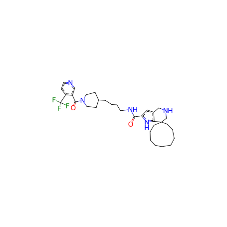 O=C(NCCCCC1CCN(C(=O)c2cnccc2C(F)(F)F)CC1)c1cc2c([nH]1)C1(CCCCCCCCC1)CNC2